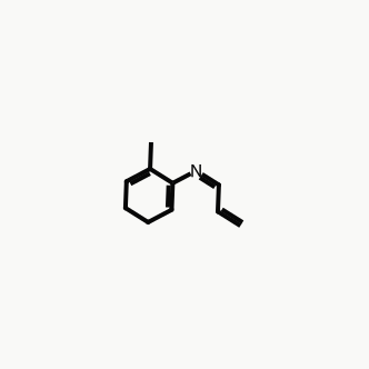 C=C/C=N\C1=CCCC=C1C